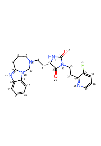 O=C1N[C@@H](CCN2CCCc3nc4ccccc4n3C2)C(=O)N1CCc1ncccc1F